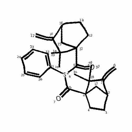 C=C1C2CCC(C(=O)[S+](C(=O)C34CCC(C3)C(=C)C4(C)C)c3ccccc3)(C2)C1(C)C